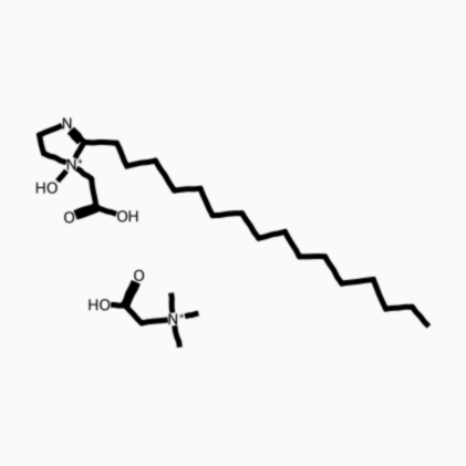 CCCCCCCCCCCCCCCCC1=NCC[N+]1(O)CC(=O)O.C[N+](C)(C)CC(=O)O